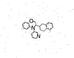 O=CC(C1CCc2[c]cccc2C1)N(c1ccccc1)c1cccnc1